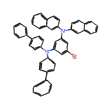 Brc1cc(N(c2ccc(-c3ccccc3)cc2)c2ccc(-c3ccccc3)cc2)cc(N(c2ccc3ccccc3c2)c2ccc3ccccc3c2)c1